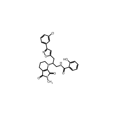 CN1C(=O)C2=C(C1=O)N(C(CNC(=O)c1ccccc1O)Cc1cc(-c3cccc(Cl)c3)no1)CCC2